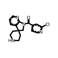 O=C(c1ccnc(Cl)c1)N1CC2(CCNCC2)c2cccnc21